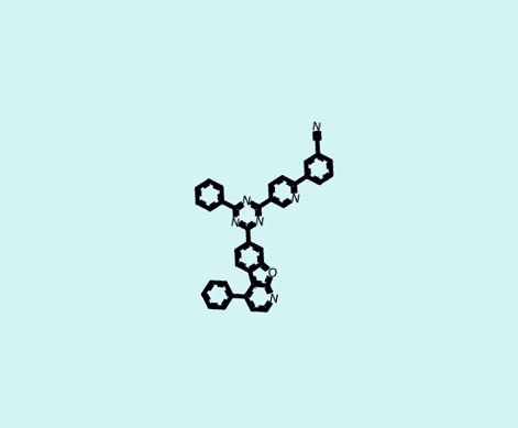 N#Cc1cccc(-c2ccc(-c3nc(-c4ccccc4)nc(-c4ccc5c(c4)oc4nccc(-c6ccccc6)c45)n3)cn2)c1